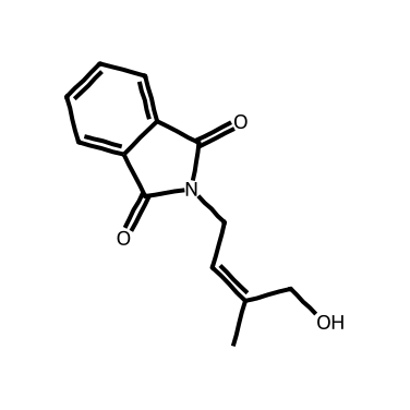 C/C(=C/CN1C(=O)c2ccccc2C1=O)CO